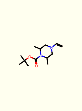 C=CN1CC(C)N(C(=O)OC(C)(C)C)C(C)C1